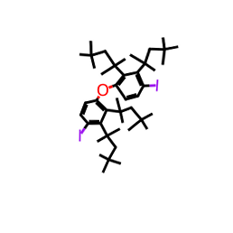 CC(C)(C)CC(C)(C)c1c(I)ccc(Oc2ccc(I)c(C(C)(C)CC(C)(C)C)c2C(C)(C)CC(C)(C)C)c1C(C)(C)CC(C)(C)C